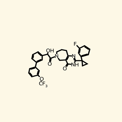 O=C(C(O)c1cccc(-c2cccc(OC(F)(F)F)c2)c1)N1CCCc2nc(C3(c4cccc(F)c4)CC3)[nH]c(=O)c2C1